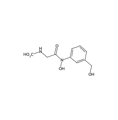 O=C(O)NCC(=O)N(O)c1cccc(CO)c1